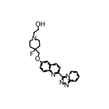 OCCN1CCC(F)(COc2ccc3nc(-c4nnc5ccccn45)ccc3c2)CC1